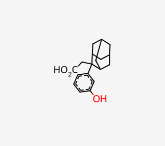 O=C(O)CC1(c2cccc(O)c2)C2CC3CC(C2)CC1C3